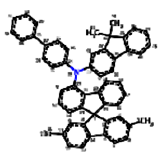 Cc1ccc2c(c1)C1(c3cc(C(C)(C)C)ccc3-2)c2ccccc2-c2c(N(c3ccc(-c4ccccc4)cc3)c3ccc4c(c3)C(C)(C)c3ccccc3-4)cccc21